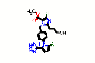 CCCCc1nc(Cl)c(C(=O)OC)n1Cc1ccc(-n2c(Cl)ccc2-c2nnn[nH]2)cc1